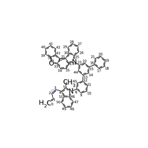 C=C/C=C\c1c(C)n(-c2cccc(-c3cc(-c4ccccc4)cc(-n4c5ccccc5c5c6c(ccc54)oc4ccccc46)c3)c2)c2ccccc12